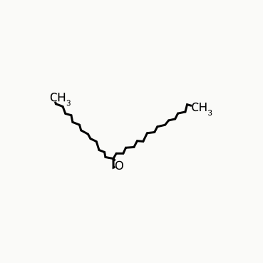 CCCCCCCCCCCCCCCCC1(CCCCCCCCCCCCCC)CO1